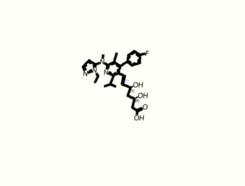 CCn1nccc1N(C)c1nc(C(C)C)c(/C=C/[C@@H](O)C[C@@H](O)CC(=O)O)c(-c2ccc(F)cc2)c1C